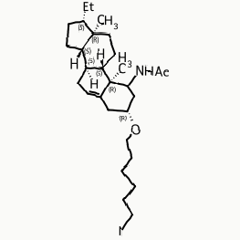 CC[C@H]1CC[C@H]2[C@@H]3CC=C4C[C@@H](OCCCCCCI)CC(NC(C)=O)[C@]4(C)[C@H]3CC[C@]12C